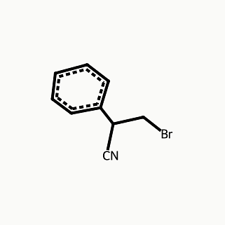 N#CC(CBr)c1ccccc1